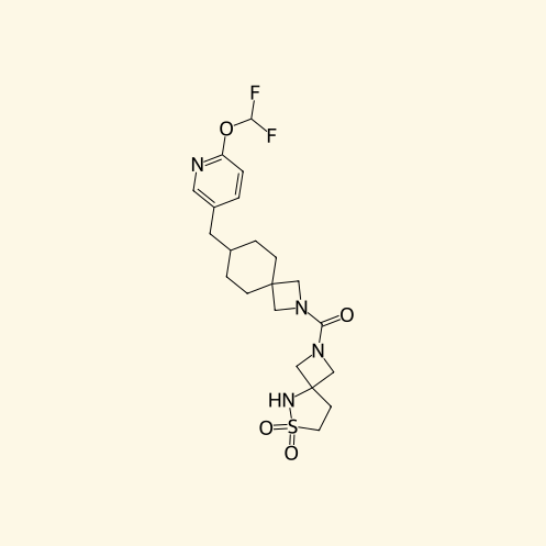 O=C(N1CC2(CCC(Cc3ccc(OC(F)F)nc3)CC2)C1)N1CC2(CCS(=O)(=O)N2)C1